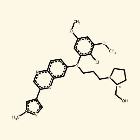 COc1cc(OC)c(Cl)c(N(CCCN2CCC[C@H]2CO)c2ccc3ncc(-c4cnn(C)c4)nc3c2)c1